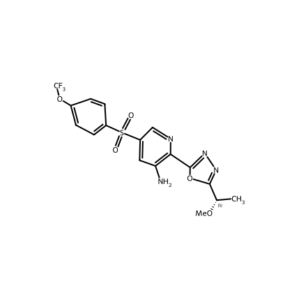 CO[C@@H](C)c1nnc(-c2ncc(S(=O)(=O)c3ccc(OC(F)(F)F)cc3)cc2N)o1